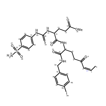 C/C=C\C(=O)CCC(NC(=O)C(CCC(=O)OC)NC(=S)Nc1ccc(S(N)(=O)=O)cc1)C(=O)NCc1ccc(I)cc1